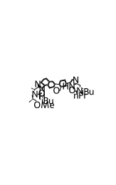 CCCC(=O)N(Cc1ncc(-c2ccc3c(c2)COc2cc4c(ccc5nc([C@H](C)N(C[C@H](C)COC)C(=O)C[C@@H](C)CC)[nH]c54)cc2-3)[nH]1)[C@@H](C)CC